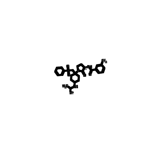 CC(C)C(C)NC1CCC(CS(=O)(=O)c2ccccc2)(N2CC[C@H](NC(=O)c3cccc(C(F)(F)F)c3)C2=O)CC1